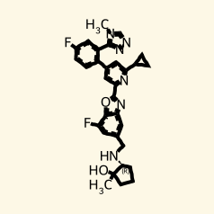 Cn1cnnc1-c1cc(F)ccc1-c1cc(-c2nc3cc(CN[C@@H]4CCCC4(C)O)cc(F)c3o2)nc(C2CC2)c1